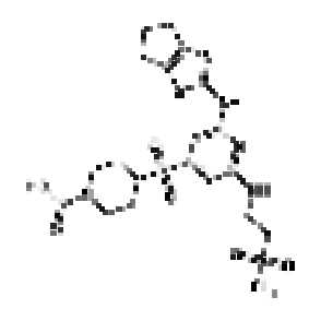 CS(=O)(=O)CCNc1cc(S(=O)(=O)C2CCN(C(=O)O)CC2)cc(Nc2nc3c(s2)CCC3)n1